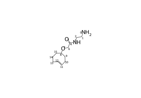 NCCNC(=O)COC1CC/C=C/CCC1